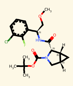 COC[C@@H](NC(=O)[C@@H]1[C@@H]2C[C@@H]2CN1C(=O)OC(C)(C)C)c1cccc(Cl)c1F